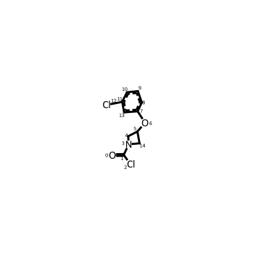 O=C(Cl)N1CC(Oc2cccc(Cl)c2)C1